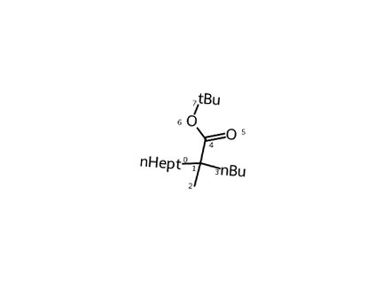 CCCCCCCC(C)(CCCC)C(=O)OC(C)(C)C